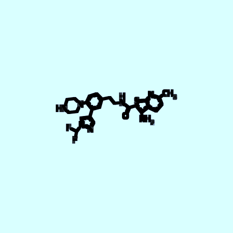 Cc1ccc2c(N)c(C(=O)NCCc3ccc(N4CCNCC4)c(-c4cnn(C(F)F)c4)c3)sc2n1